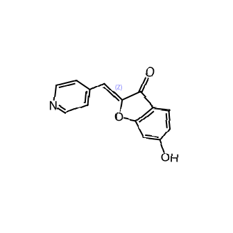 O=C1/C(=C/c2ccncc2)Oc2cc(O)ccc21